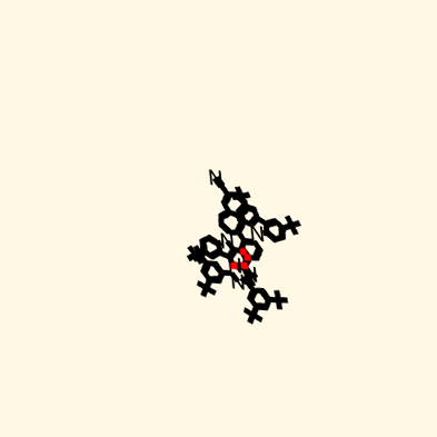 CC(C)(C)c1cc(-c2nc(-c3cc(C(C)(C)C)cc(C(C)(C)C)c3)nc(-c3ccc(-n4c5ccc(C(C)(C)C)cc5c5cc(C(C)(C)C)ccc54)c(C4=CC5=CC=CC(C#N)=CC5=CC=C4n4c5ccc(C(C)(C)C)cc5c5cc(C(C)(C)C)ccc54)c3)n2)cc(C(C)(C)C)c1